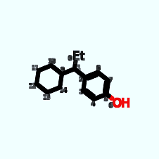 CCC(c1ccc(O)cc1)C1CCCCC1